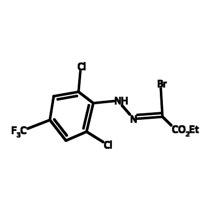 CCOC(=O)C(Br)=NNc1c(Cl)cc(C(F)(F)F)cc1Cl